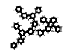 c1ccc(-c2ccc3sc4c(-c5ccc6c(c5)c5cc(-c7cc(-c8ccccc8)cc8c7sc7ccc(-c9ccccc9)cc78)ccc5n6-c5cccc(-c6ccc7c(-c8ccccc8)c8ccccc8c(-c8ccccc8)c7c6)c5)cc(-c5ccccc5)cc4c3c2)cc1